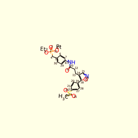 CCOP(=O)(Cc1ccc(NC(=O)CCc2cnoc2-c2ccc(S(C)(=O)=O)cc2)cc1)OCC